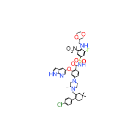 C[C@@H]1CN(c2ccc(C(=O)NS(=O)(=O)c3cc(F)c(NC[C@@H]4COCCO4)c([N+](=O)[O-])c3)c(Oc3cnc4[nH]ccc4c3)c2)CCN1CC1=C(c2ccc(Cl)cc2)CCC(C)(C)C1